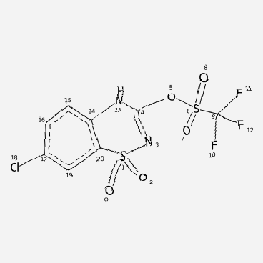 O=S1(=O)N=C(OS(=O)(=O)C(F)(F)F)Nc2ccc(Cl)cc21